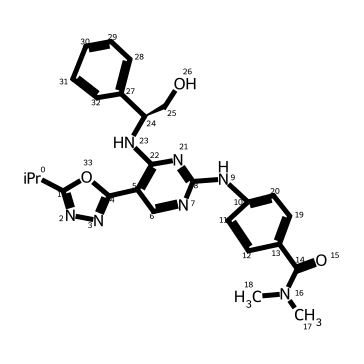 CC(C)c1nnc(-c2cnc(Nc3ccc(C(=O)N(C)C)cc3)nc2N[C@H](CO)c2ccccc2)o1